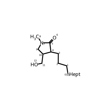 CCCCCCCCCCC1C(=O)N(C)CC1CO